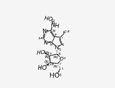 OC[C@H]1O[C@@H](n2cc(F)c3c(NO)ncnc32)[C@H](O)[C@@H]1O